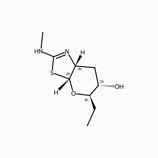 CC[C@H]1O[C@@H]2SC(NC)=N[C@@H]2C[C@@H]1O